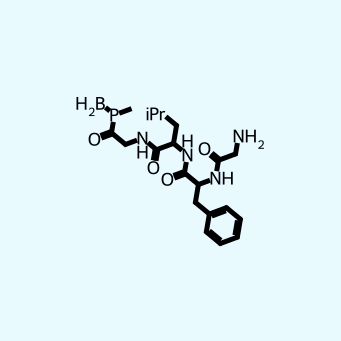 BP(C)C(=O)CNC(=O)C(CC(C)C)NC(=O)C(Cc1ccccc1)NC(=O)CN